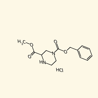 COC(=O)C1CN(C(=O)OCc2ccccc2)CCN1.Cl